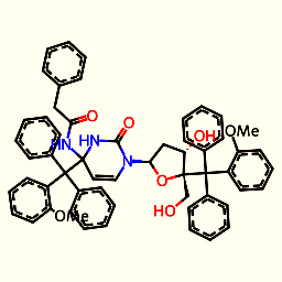 COc1ccccc1C(c1ccccc1)(c1ccccc1)C1(NC(=O)Cc2ccccc2)C=CN([C@H]2C[C@H](O)[C@](CO)(C(c3ccccc3)(c3ccccc3)c3ccccc3OC)O2)C(=O)N1